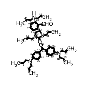 C=CCN(CC=C)c1ccc(C(=O)c2ccc(N(CC=C)CC=C)cc2)cc1.C=CCN1CCN(CC=C)C1=O.C=CCNCC=C.O=Cc1ccccc1